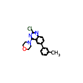 Cc1cccc(-c2ccc3nc(Cl)nc(N4CCOCC4)c3c2)c1